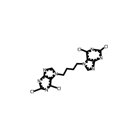 Clc1nc(Cl)c2c(ncn2CCCCn2cnc3nc(Cl)nc(Cl)c32)n1